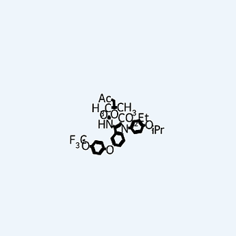 CCOC(=O)c1c(NC(=O)OC(C)(C)CC(C)=O)c2cc(Oc3ccc(OC(F)(F)F)cc3)ccc2n1-c1ccc(OC(C)C)cc1